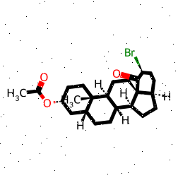 CC(=O)O[C@@H]1CC[C@@]2(C)[C@H](CC[C@@H]3[C@@H]2CC[C@@]24C(=O)[C@@H](Br)CC[C@H]2CC[C@@H]34)C1